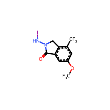 O=C1c2cc(OC(F)(F)F)cc(C(F)(F)F)c2CN1NI